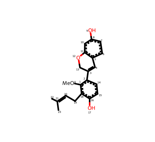 COc1c(C2=Cc3ccc(O)cc3OC2)ccc(O)c1CC=C(C)C